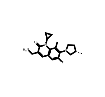 Cc1c(N2CC[C@H](C)C2)c(F)cc2cc(CN)c(=O)n(C3CC3)c12